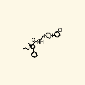 CCCn1c(-c2ccccc2)cc(C(=O)NCCCN2CCN(c3cccc(Cl)c3)CC2)c1C